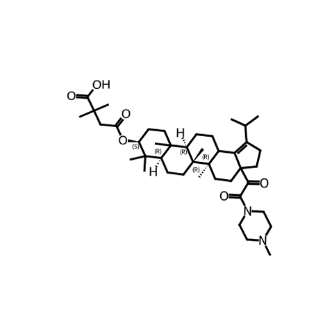 CC(C)C1=C2C3CC[C@@H]4C5(C)CC[C@H](OC(=O)CC(C)(C)C(=O)O)C(C)(C)[C@@H]5CC[C@@]4(C)[C@]3(C)CCC2(C(=O)C(=O)N2CCN(C)CC2)CC1